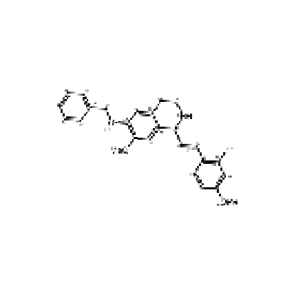 COc1ccc(/C=C/C2NCCc3cc(OCc4ccccc4)c(OC)cc32)c(F)c1